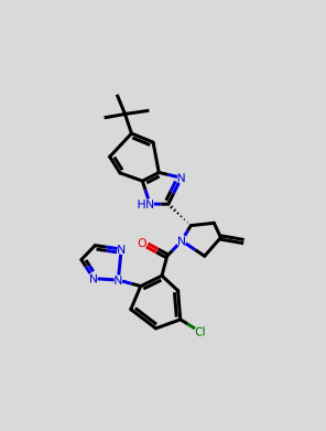 C=C1C[C@@H](c2nc3cc(C(C)(C)C)ccc3[nH]2)N(C(=O)c2cc(Cl)ccc2-n2nccn2)C1